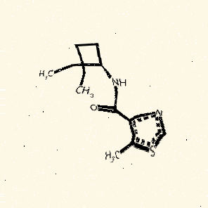 Cc1scnc1C(=O)N[C@@H]1CCC1(C)C